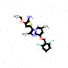 CCOc1cc(-c2c(C)nc3c(OCc4c(F)cccc4F)cc(C)cn23)sc1N